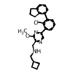 COc1nc(-c2cccc(-c3cccc4c3CCC4)c2Cl)cnc1CNCC1CCC1